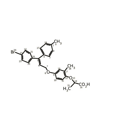 Cc1ccc(/C(=C\COc2ccc(OC(C)C(=O)O)c(C)c2)c2ccc(Br)cc2)cc1